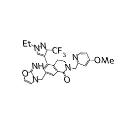 CCn1cc(-c2cc(Cn3ccoc3=N)cc3c2CCN(Cc2cc(OC)ccn2)C3=O)c(C(F)(F)F)n1